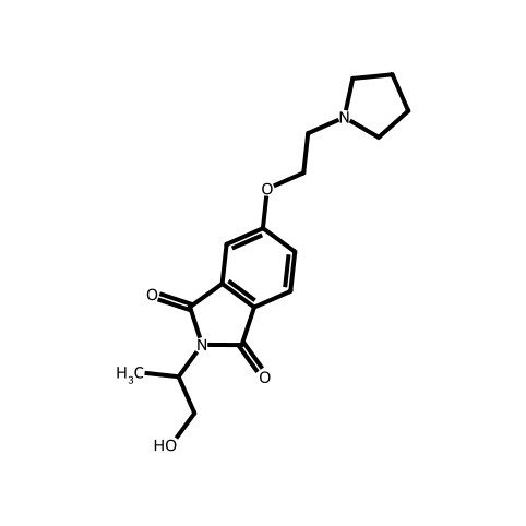 CC(CO)N1C(=O)c2ccc(OCCN3CCCC3)cc2C1=O